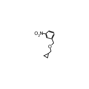 O=[N+]([O-])c1cccc(COCC2CC2)c1